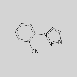 N#Cc1ccccc1-n1ccnn1